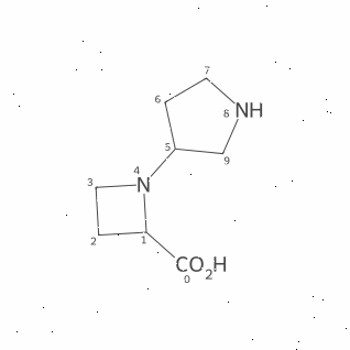 O=C(O)C1CCN1C1CCNC1